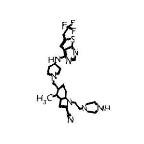 CC1C(CN2CCC(Nc3ncnc4sc(CC(F)(F)F)cc34)CC2)CCC2C1C=C(C#N)N2CCN1CCNCC1